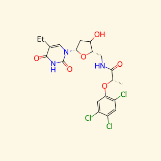 CCc1cn([C@@H]2CC(O)[C@H](CNC(=O)[C@H](C)Oc3cc(Cl)c(Cl)cc3Cl)O2)c(=O)[nH]c1=O